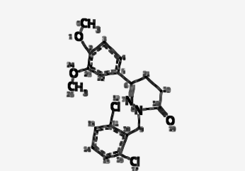 COc1ccc(C2=NN(Cc3c(Cl)cccc3Cl)C(=O)CC2)cc1OC